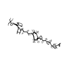 CC(C)(C)OC(=O)NCCCCc1ccc(OCCOCCO)cc1